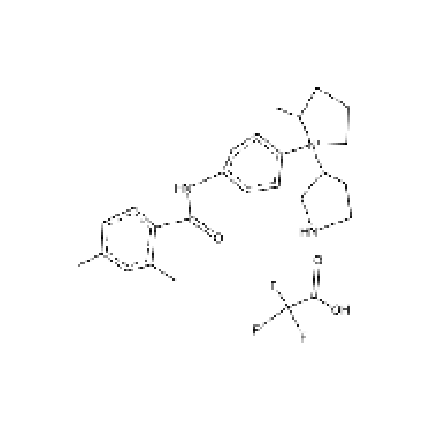 Cc1ccc(C(=O)Nc2ccc([N+]3(C4CCNC4)CCCC3C)cc2)c(C)c1.O=C(O)C(F)(F)F